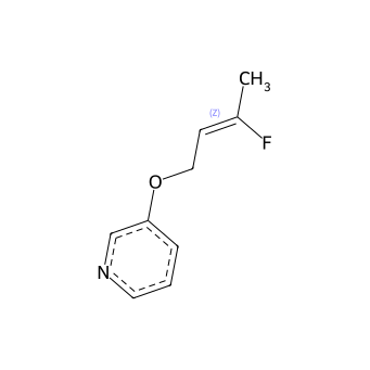 C/C(F)=C/COc1cccnc1